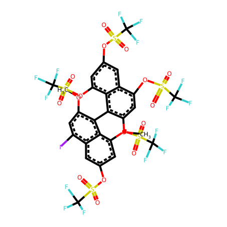 COc1cc(I)c2cc(OS(=O)(=O)C(F)(F)F)cc(OS(=O)(=O)C(F)(F)F)c2c1-c1c(OC)cc(OS(=O)(=O)C(F)(F)F)c2cc(OS(=O)(=O)C(F)(F)F)cc(OS(=O)(=O)C(F)(F)F)c12